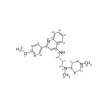 COc1ccc(-c2cc(NCCCN(C)C3CCN(C)CC3)c3ccccc3n2)cc1